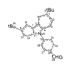 CC(C)(C)c1ccc2c(c1)c1cc(C(C)(C)C)ccc1n2-c1ccc(C=O)cc1